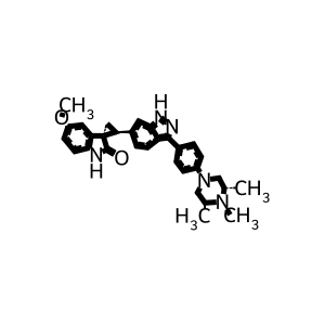 COc1ccc2c(c1)[C@]1(C[C@H]1c1ccc3c(-c4ccc(N5C[C@@H](C)N(C)[C@@H](C)C5)cc4)n[nH]c3c1)C(=O)N2